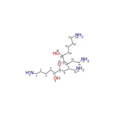 NCCCCC(O)C(CCCN)OC(CCCN)C(O)CCCCN